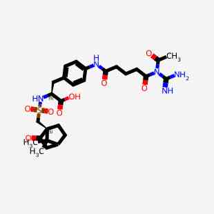 CC(=O)N(C(=N)N)C(=O)CCCC(=O)Nc1ccc(C[C@H](NS(=O)(=O)C[C@]23CCC(CC2=O)C3(C)C)C(=O)O)cc1